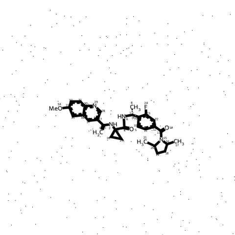 C=C(NC1(C(=O)N[C@H](C)c2ccc(C(=O)N3C(C)CCC3C)cc2F)CC1)c1cnc2ccc(OC)cc2c1